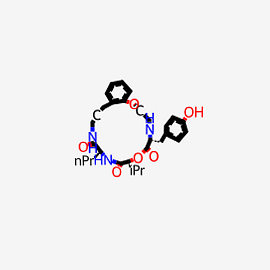 CCC[C@@H]1NC(=O)[C@@H](C(C)C)OC(=O)[C@@H](Cc2ccc(O)cc2)NCCOc2ccccc2CCCNC1=O